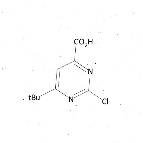 CC(C)(C)c1cc(C(=O)O)nc(Cl)n1